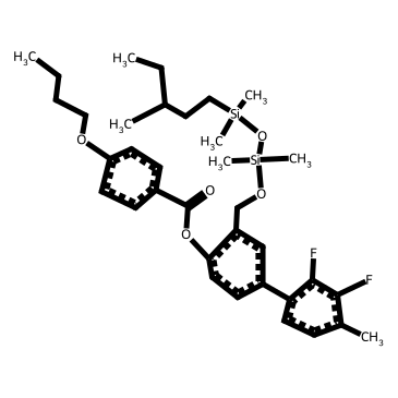 CCCCOc1ccc(C(=O)Oc2ccc(-c3ccc(C)c(F)c3F)cc2CO[Si](C)(C)O[Si](C)(C)CCC(C)CC)cc1